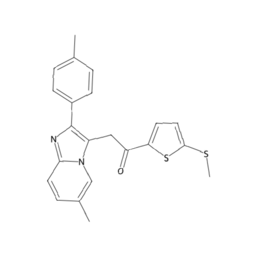 CSc1ccc(C(=O)Cc2c(-c3ccc(C)cc3)nc3ccc(C)cn23)s1